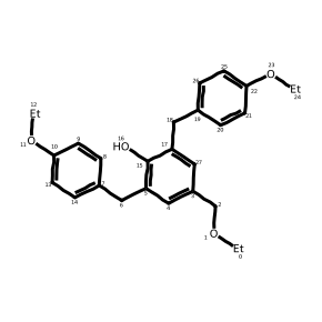 CCOCc1cc(Cc2ccc(OCC)cc2)c(O)c(Cc2ccc(OCC)cc2)c1